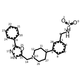 O=[SH](=O)NCc1cccc(C2CCN(Cc3nnc(-c4ccccc4)o3)CC2)c1